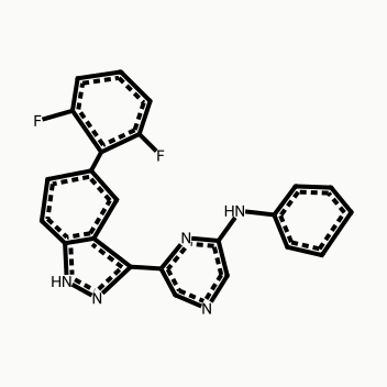 Fc1cccc(F)c1-c1ccc2[nH]nc(-c3cncc(Nc4ccccc4)n3)c2c1